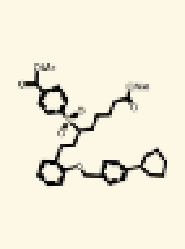 COC(=O)CCCCC(CCc1ccccc1OCc1ccc(C2CCCCC2)cc1)S(=O)(=O)c1ccc(C(=O)OC)cc1